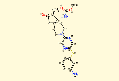 C[C@@H]1C(=O)CC2(CCN(c3cnc(Sc4cccc(N)c4)cn3)CC2)[C@H]1NC(=O)OC(C)(C)C